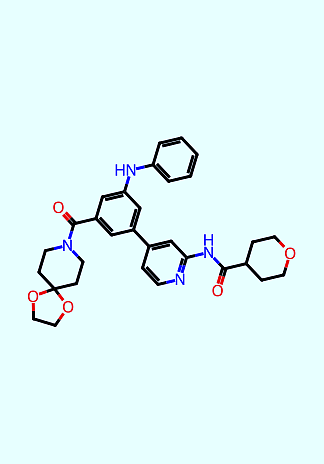 O=C(Nc1cc(-c2cc(Nc3ccccc3)cc(C(=O)N3CCC4(CC3)OCCO4)c2)ccn1)C1CCOCC1